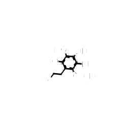 CCCCCCCCCCCCc1c(O)c(O)c(O)c(CC)c1C(=O)OCC